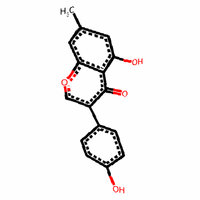 Cc1cc(O)c2c(=O)c(-c3ccc(O)cc3)coc2c1